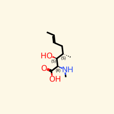 CC=CC[C@H](C)[C@H](O)[C@@H](NC)C(=O)O